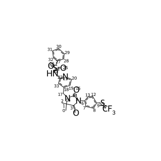 CC1(C)C(=O)N(c2ccc(SC(F)(F)F)cc2)C(=O)N1Cc1ccnc(NS(=O)(=O)c2ccccc2)c1